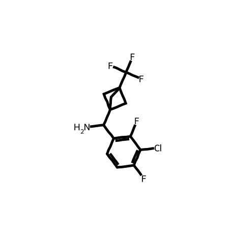 NC(c1ccc(F)c(Cl)c1F)C12CC(C(F)(F)F)(C1)C2